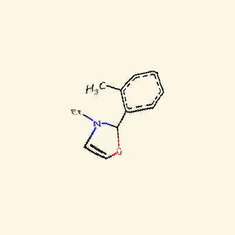 CCN1C=COC1c1ccccc1C